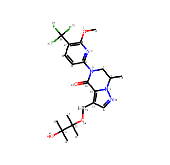 COc1nc(N2CC(C)n3ncc(BOC(C)(C)C(C)(C)O)c3C2=O)ccc1C(F)(F)F